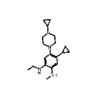 CCNc1cc(N2CCN(C3CC3)CC2)c(C2CC2)cc1NC